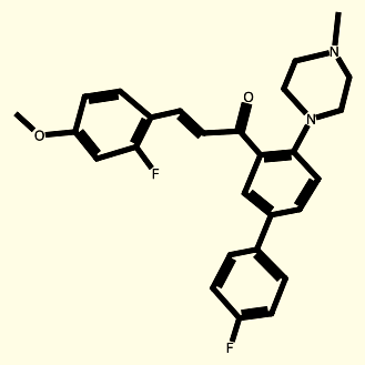 COc1ccc(C=CC(=O)c2cc(-c3ccc(F)cc3)ccc2N2CCN(C)CC2)c(F)c1